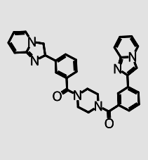 O=C(c1cccc(-c2cn3ccccc3n2)c1)N1CCN(C(=O)c2cccc(C3CN4C=CC=CC4=N3)c2)CC1